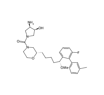 CO[C@H](CCCC[C@H]1CN(C(=O)N2C[C@@H](N)[C@@H](O)C2)CCO1)c1cccc(F)c1-c1cccc(C)c1